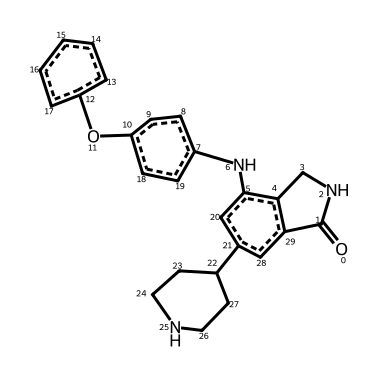 O=C1NCc2c(Nc3ccc(Oc4ccccc4)cc3)cc(C3CCNCC3)cc21